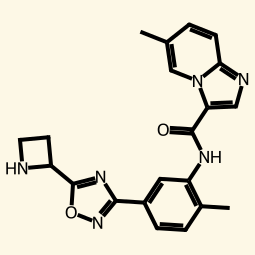 Cc1ccc2ncc(C(=O)Nc3cc(-c4noc(C5CCN5)n4)ccc3C)n2c1